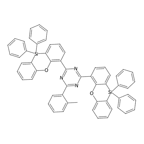 Cc1ccccc1-c1nc(-c2cccc3c2Oc2ccccc2[Si]3(c2ccccc2)c2ccccc2)nc(-c2cccc3c2Oc2ccccc2[Si]3(c2ccccc2)c2ccccc2)n1